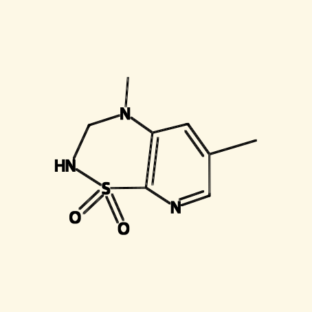 Cc1cnc2c(c1)N(C)CNS2(=O)=O